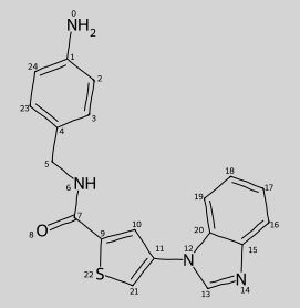 Nc1ccc(CNC(=O)c2cc(-n3cnc4ccccc43)cs2)cc1